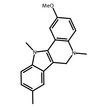 COc1ccc2c(c1)-c1c(c3cc(C)ccc3n1C)CN2C